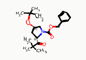 CC(C)(C)O[C@@H]1C[C@@H](C(=O)C(C)(C)C)N(C(=O)OCc2ccccc2)C1